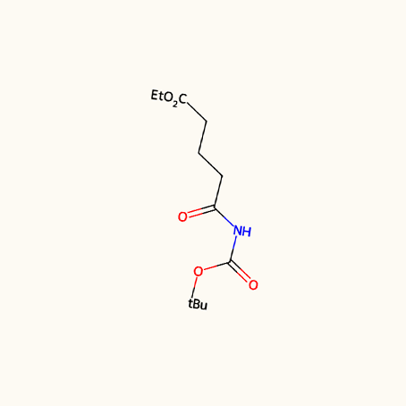 CCOC(=O)CCCC(=O)NC(=O)OC(C)(C)C